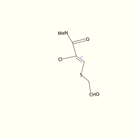 CNC(=O)/C(Cl)=C/SC[C]=O